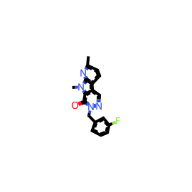 Cc1ccc2c3cnn(Cc4cccc(F)c4)c(=O)c3n(C)c2n1